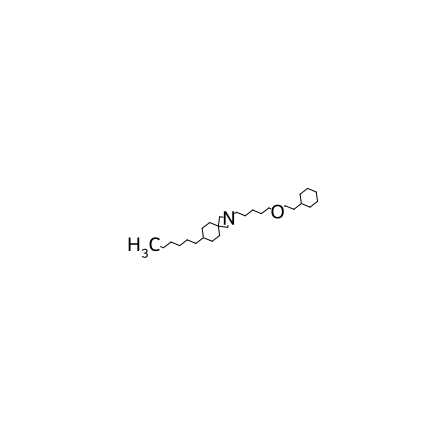 CCCCCCC1CCC2(CC1)CN(CCCCCOCCC1CCCCC1)C2